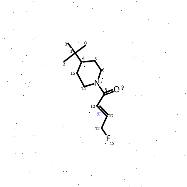 CC(C)(C)C1CCN(C(=O)/C=C/CF)CC1